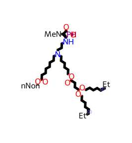 CC/C=C\CCCCOC(CCC(=O)OCCCCCCN(CCCCCCCC(=O)OCCCCCCCCC)CCCNC1=C(NC)C(=O)[PH]1=O)OCCCC/C=C\CC